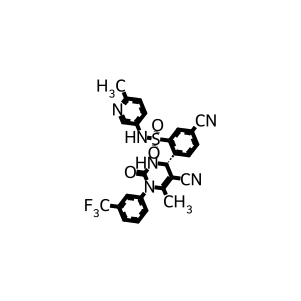 CC1=C(C#N)[C@@H](c2ccc(C#N)cc2S(=O)(=O)Nc2ccc(C)nc2)NC(=O)N1c1cccc(C(F)(F)F)c1